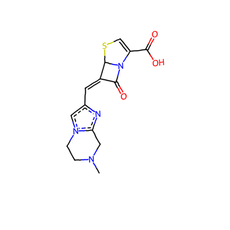 CN1CCn2cc(C=C3C(=O)N4C(C(=O)O)=CSC34)nc2C1